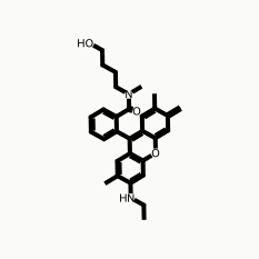 C=c1cc2c(cc1C)=C(c1ccccc1C(=O)N(C)CCCCO)c1cc(C)c(NCC)cc1O2